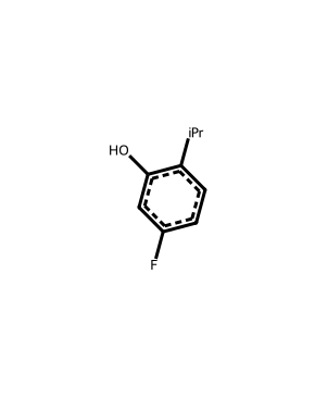 CC(C)c1ccc(F)cc1O